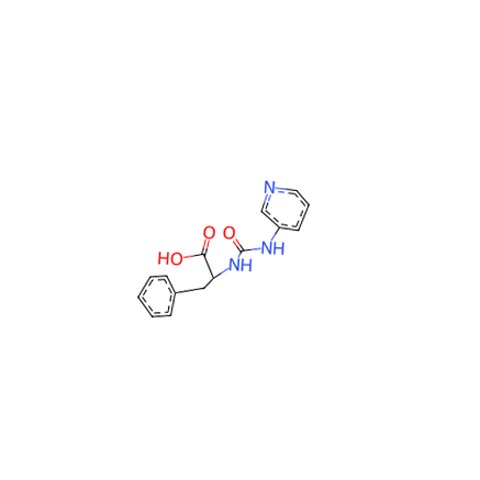 O=C(Nc1cccnc1)NC(Cc1ccccc1)C(=O)O